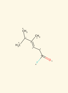 C/C(=C\CC(=O)F)C(C)C